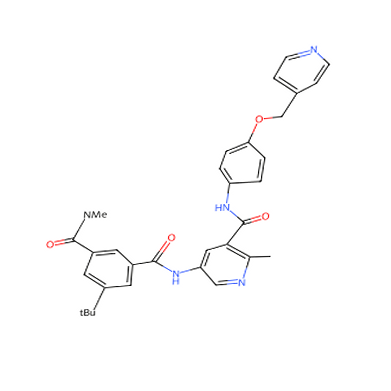 CNC(=O)c1cc(C(=O)Nc2cnc(C)c(C(=O)Nc3ccc(OCc4ccncc4)cc3)c2)cc(C(C)(C)C)c1